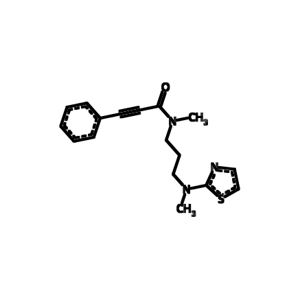 CN(CCCN(C)c1nccs1)C(=O)C#Cc1ccccc1